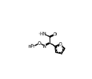 CCCON=C(C([NH])=O)c1ccco1